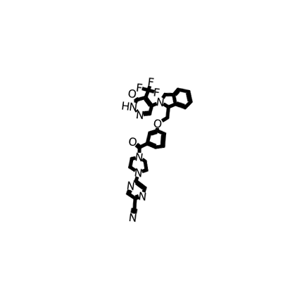 N#Cc1cnc(N2CCN(C(=O)c3cccc(OCC4c5ccccc5CN4c4cn[nH]c(=O)c4C(F)(F)F)c3)CC2)cn1